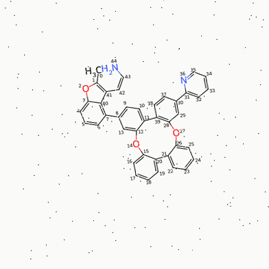 Cc1oc2cccc(-c3ccc4c(c3)Oc3ccccc3-c3ccccc3Oc3cc(-c5ccccn5)ccc3-4)c2c1/C=C\N